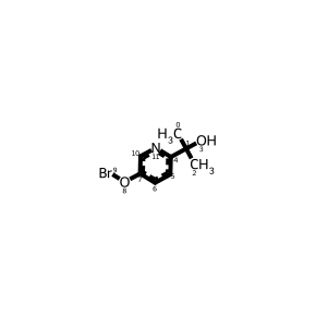 CC(C)(O)c1ccc(OBr)cn1